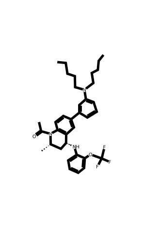 CCCCCN(CCCCC)c1cccc(-c2ccc3c(c2)[C@H](Nc2ccccc2OC(F)(F)F)C[C@H](C)N3C(C)=O)c1